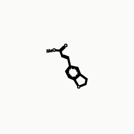 COC(=O)/C=C/c1ccc2c(c1)CCO2